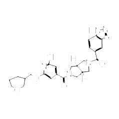 O=C(c1cc(Cl)nc(OCC2CCCOC2)c1)N1C[C@@H]2CN(C(=O)c3ccc4[nH]nnc4c3)C[C@H]2C1